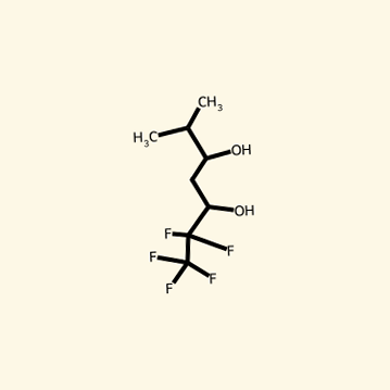 CC(C)C(O)CC(O)C(F)(F)C(F)(F)F